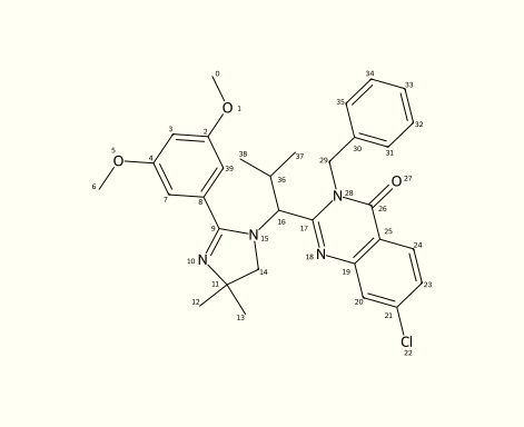 COc1cc(OC)cc(C2=NC(C)(C)CN2C(c2nc3cc(Cl)ccc3c(=O)n2Cc2ccccc2)C(C)C)c1